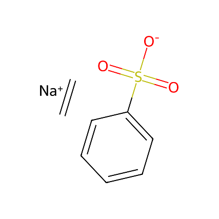 C=C.O=S(=O)([O-])c1ccccc1.[Na+]